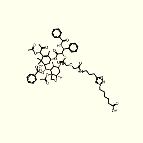 CC(=O)O[C@@H](C(C)=O)C1=C(C)[C@@H](OC(=O)[C@H](OC(=O)COCC(=O)NCCCc2cn(CCCCCC(=O)O)nn2)[C@@H](NC(=O)c2ccccc2)c2ccccc2)C[C@@](O)([C@@H](OC(=O)c2ccccc2)[C@H]2[C@@H](C)[C@@H](O)C[C@H]3OC[C@@]23OC(C)=O)C1(C)C